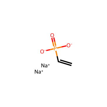 C=CP(=O)([O-])[O-].[Na+].[Na+]